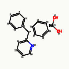 OBO.c1ccc(Cc2ccccn2)cc1.c1ccccc1